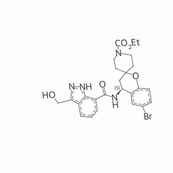 CCOC(=O)N1CCC2(CC1)C[C@H](NC(=O)c1cccc3c(CO)n[nH]c13)c1cc(Br)ccc1O2